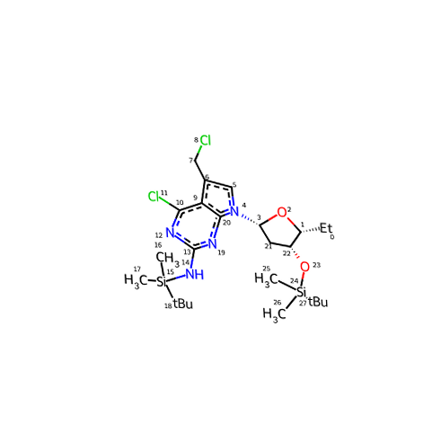 CC[C@H]1O[C@@H](n2cc(CCl)c3c(Cl)nc(N[Si](C)(C)C(C)(C)C)nc32)C[C@H]1O[Si](C)(C)C(C)(C)C